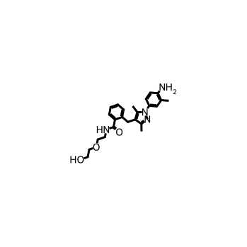 Cc1cc(-n2nc(C)c(Cc3ccccc3C(=O)NCCOCCO)c2C)ccc1N